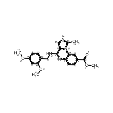 COC(=O)c1ccc2nc(NCc3ccc(OC)cc3OC)c3cnc(C)n3c2c1